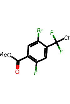 COC(=O)c1cc(Br)c(C(F)(F)C(F)(F)F)cc1F